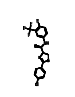 O=C(Nc1ccc(F)c(C(F)(F)F)c1)C1CSC(c2ccc(Cl)cc2)=N1